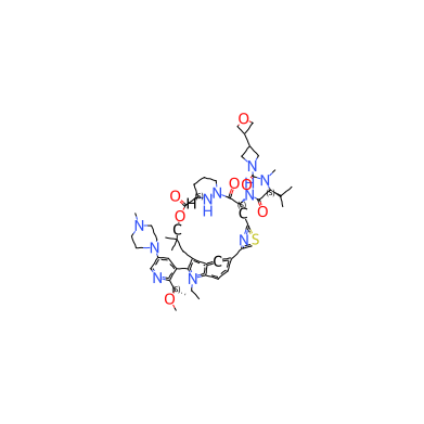 CCn1c(-c2cc(N3CCN(C)CC3)cnc2[C@H](C)OC)c2c3cc(ccc31)-c1csc(n1)C[C@H](NC(=O)[C@H](C(C)C)N(C)C(=O)N1CC(C3COC3)C1)C(=O)N1CCC[C@H](N1)C(=O)OCC(C)(C)C2